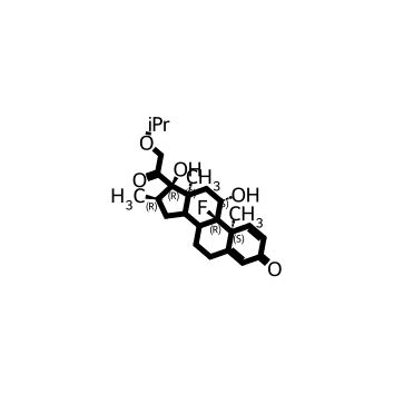 CC(C)OCC(=O)[C@@]1(O)[C@H](C)CC2C3CCC4=CC(=O)C=C[C@]4(C)[C@@]3(F)[C@@H](O)C[C@@]21C